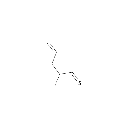 C=CCC(C)[C]=S